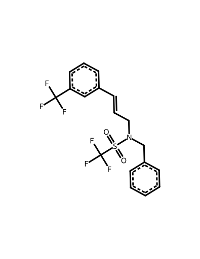 O=S(=O)(N(CC=Cc1cccc(C(F)(F)F)c1)Cc1ccccc1)C(F)(F)F